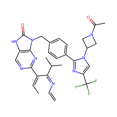 C=C/N=C(\C(=C/C)c1ncc2[nH]c(=O)n(Cc3ccc(-c4nc(C(F)(F)F)cn4C4CN(C(C)=O)C4)cc3)c2n1)C(C)C